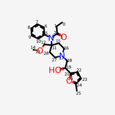 CCC(=O)N(c1ccccc1)C1(COC)CCN(CC(O)c2ccc(C)o2)CC1